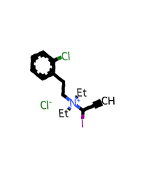 C#CC(I)[N+](CC)(CC)CCc1ccccc1Cl.[Cl-]